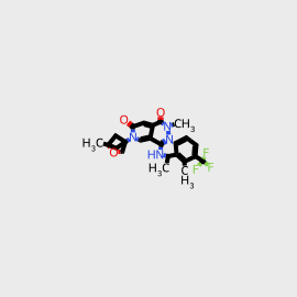 Cc1c(C(C)Nc2nn(C)c(=O)c3cc(=O)n(C45COC(C)(C4)C5)cc23)cccc1C(F)(F)F